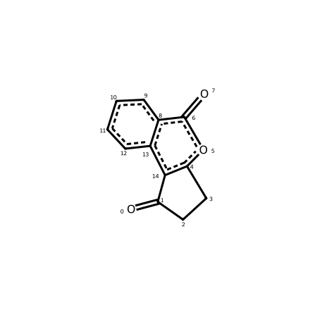 O=C1CCc2oc(=O)c3ccccc3c21